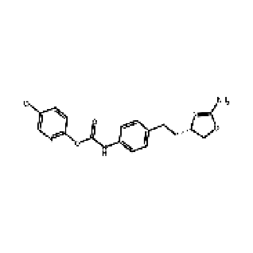 NC1=N[C@@H](CCc2ccc(NC(=O)Oc3ccc(Cl)cn3)cc2)CO1